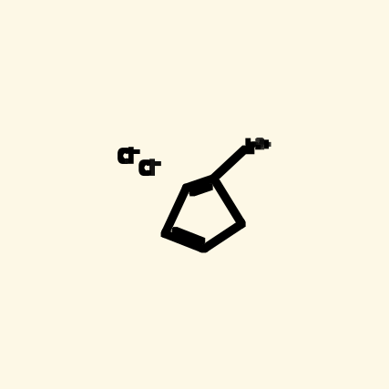 [Cl-].[Cl-].[Ir+2][C]1=CC=CC1